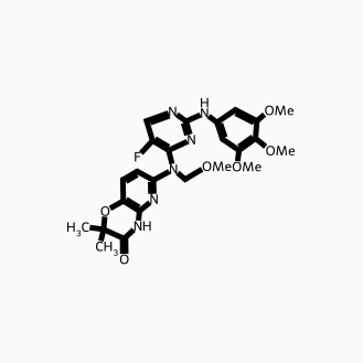 COCN(c1ccc2c(n1)NC(=O)C(C)(C)O2)c1nc(Nc2cc(OC)c(OC)c(OC)c2)ncc1F